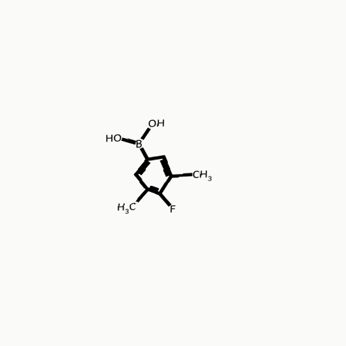 Cc1cc(B(O)O)cc(C)c1F